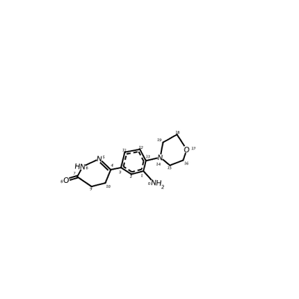 Nc1cc(C2=NNC(=O)CC2)ccc1N1CCOCC1